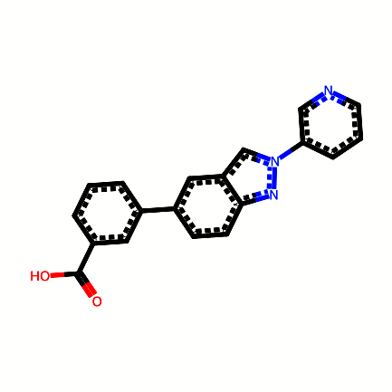 O=C(O)c1cccc(-c2ccc3nn(-c4cccnc4)cc3c2)c1